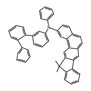 CC1(C)c2ccccc2-c2cc3ccc4ccc(N(c5ccccc5)c5cccc(-c6ccccc6-c6ccccc6)c5)cc4c3cc21